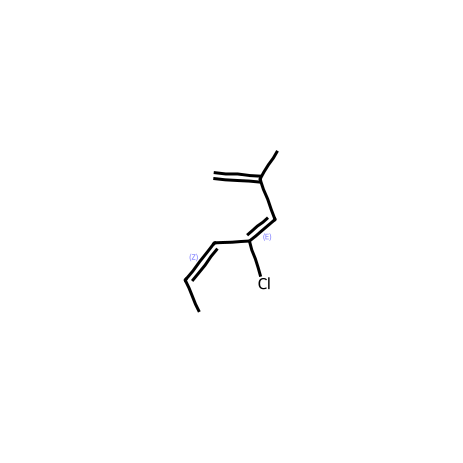 C=C(C)/C=C(Cl)\C=C/C